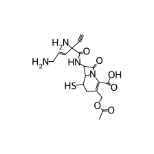 C#CC(N)(C=CCN)C(=O)NC1C(=O)N2C(C(=O)O)=C(COC(C)=O)CC(S)C12